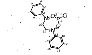 ClP1ON(c2ccccc2)CCN(c2ccccc2)O1